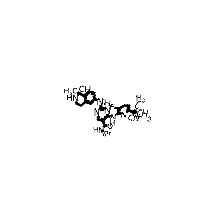 CC(C)NC(=O)c1cnc(Nc2ccc3c(c2)CCNC3(C)C)nc1Nc1nc(C(C)(C)C#N)ccc1F